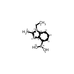 CCn1c(N)nc2c(B(O)O)cccc21